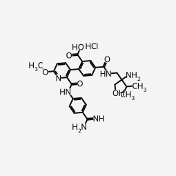 COc1ccc(-c2ccc(C(=O)NCC(N)(CO)C(C)C)cc2C(=O)O)c(C(=O)Nc2ccc(C(=N)N)cc2)n1.Cl